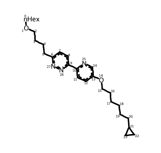 CCCCCCOCCCCc1ccc(-c2ccc(OCCCCCCC3CC3)cn2)nn1